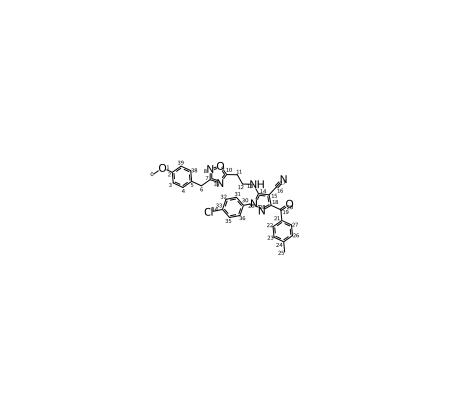 COc1ccc(Cc2noc(CCNc3c(C#N)c(C(=O)c4ccc(C)cc4)nn3-c3ccc(Cl)cc3)n2)cc1